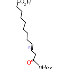 CCCCCCC(=O)C/C=C/CCCCCCCC(=O)O